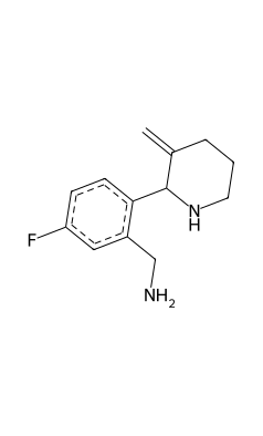 C=C1CCCNC1c1ccc(F)cc1CN